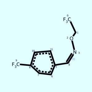 FC(F)(F)CO/N=[C]\c1ccc(C(F)(F)F)cc1